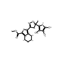 COC(=O)c1sc(C2=NOC(C)(c3sc(Cl)c(Cl)c3Cl)C2)c2c1CCCC2